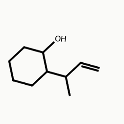 C=CC(C)C1CCCCC1O